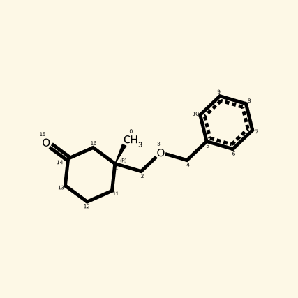 C[C@@]1(COCc2ccccc2)CCCC(=O)C1